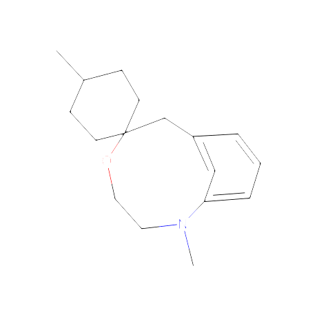 CC1CCC2(CC1)Cc1cccc(c1)N(C)CCO2